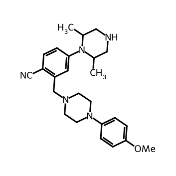 COc1ccc(N2CCN(Cc3cc(N4C(C)CNCC4C)ccc3C#N)CC2)cc1